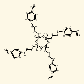 C=Cc1ccc(OCCC[Si]2(C)O[Si](C)(CCCOc3ccc(C=C)cc3)O[Si](C)(CCCOc3ccc(C=C)cc3)O[Si](C)(CCCOc3ccc(C=C)cc3)O2)cc1